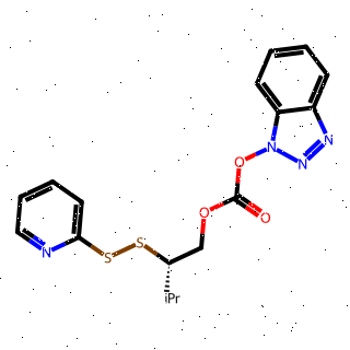 CC(C)[C@@H](COC(=O)On1nnc2ccccc21)SSc1ccccn1